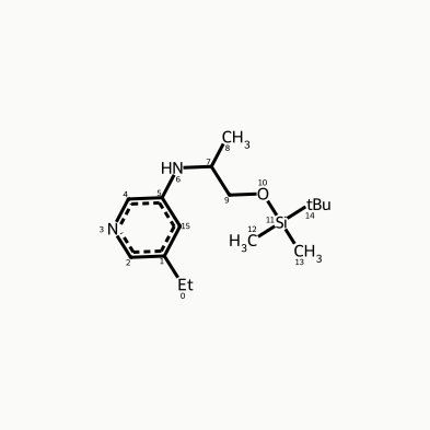 CCc1cncc(NC(C)CO[Si](C)(C)C(C)(C)C)c1